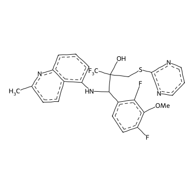 COc1c(F)ccc(C(Nc2cccc3nc(C)ccc23)C(O)(CSc2ncccn2)C(F)(F)F)c1F